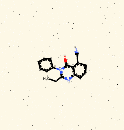 CCc1nc2cccc(C#N)c2c(=O)n1-c1ccccc1